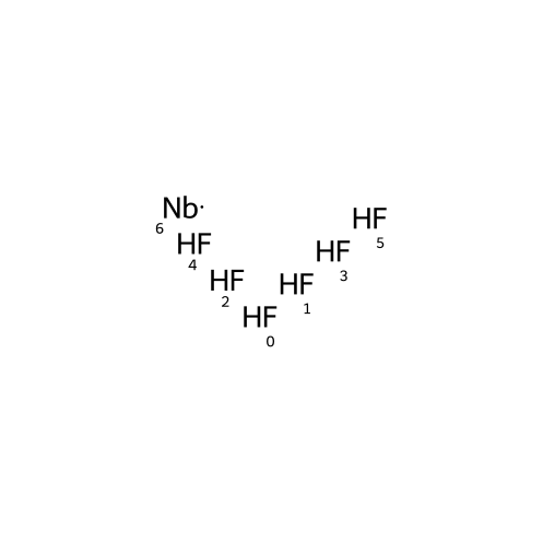 F.F.F.F.F.F.[Nb]